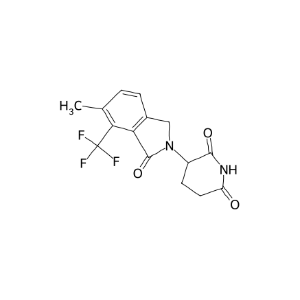 Cc1ccc2c(c1C(F)(F)F)C(=O)N(C1CCC(=O)NC1=O)C2